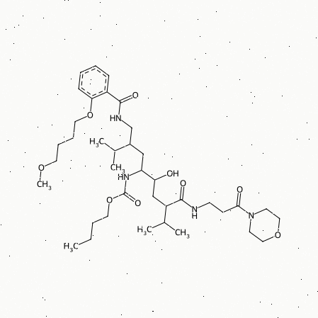 CCCCOC(=O)NC(CC(CNC(=O)c1ccccc1OCCCCOC)C(C)C)C(O)CC(C(=O)NCCC(=O)N1CCOCC1)C(C)C